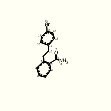 NC(=O)c1ccccc1CCc1ccc(Br)cc1